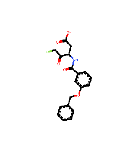 O=C(O)CC(NC(=O)c1cccc(OCc2ccccc2)c1)C(=O)CF